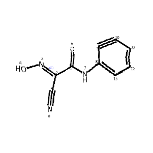 N#C/C(=N\O)C(=O)Nc1c#cccc1